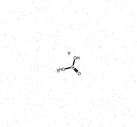 O=[Si](O)O.[Ti].[V]